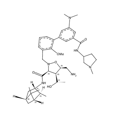 COc1c(CN2O[C@@H](CN)[C@@H]([C@H](C)O)[C@H]2C(=O)N[C@H]2C[C@H]3C[C@@H]([C@@H]2C)C3(C)C)cccc1-c1cc(C(=O)NC2CCN(C)C2)cc(N(C)C)c1